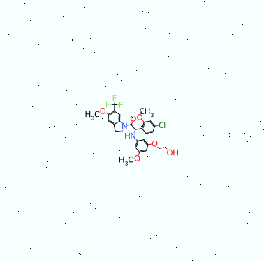 COc1cc(N[C@@H](C(=O)N2CCc3cc(OC)c(C(F)(F)F)cc32)c2ccc(Cl)cc2OC)cc(OCCO)c1